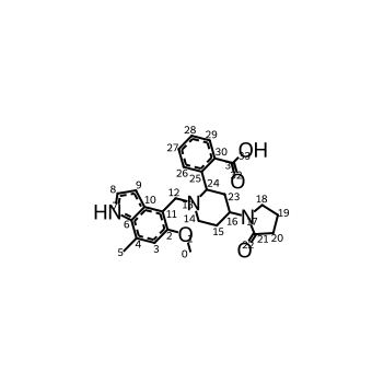 COc1cc(C)c2[nH]ccc2c1CN1CCC(N2CCCC2=O)CC1c1ccccc1C(=O)O